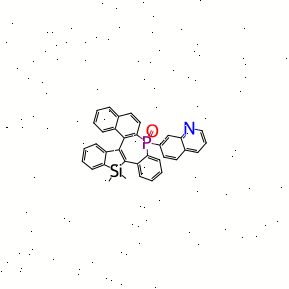 C[Si]1(C)C2=C(c3ccccc31)c1c(ccc3ccccc13)P(=O)(c1ccc3cccnc3c1)c1ccccc12